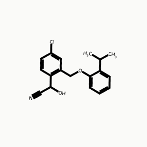 CC(C)c1ccccc1OCc1cc(Cl)ccc1C(O)C#N